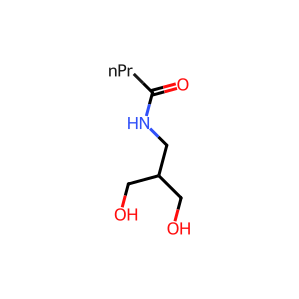 CCCC(=O)NCC(CO)CO